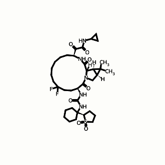 CC1(C)[C@@H]2[C@H]3C(=O)N[C@H](C(=O)C(=O)NC4CC4)CCCCCCC(F)(F)CC[C@H](NC(=O)NC4([C@H]5CCCS5(=O)=O)CCCCC4)C(=O)N3C[C@@H]21